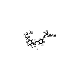 CCC(C)c1ncc(-c2cnc(N)c(OCc3cccc(C#CC(C)(C)OC)c3)c2)s1